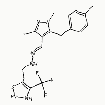 Cc1ccc(Cc2c(/C=N/NCC3=C(C(F)(F)F)NNS3)c(C)nn2C)cc1